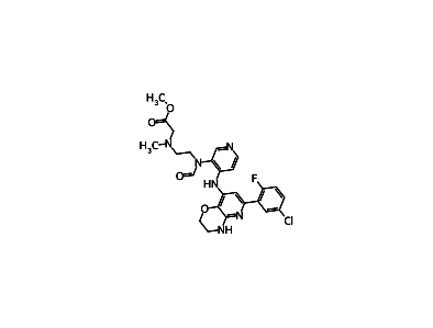 COC(=O)CN(C)CCN(C=O)c1cnccc1Nc1cc(-c2cc(Cl)ccc2F)nc2c1OCCN2